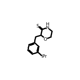 CC(C)c1cccc(CC2OCCNC2=S)c1